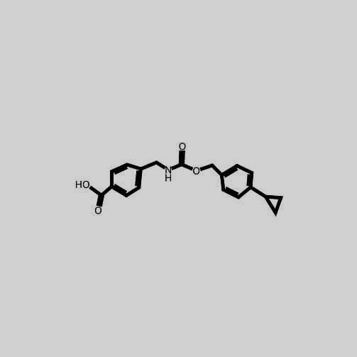 O=C(NCc1ccc(C(=O)O)cc1)OCc1ccc(C2CC2)cc1